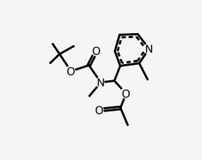 CC(=O)OC(c1cccnc1C)N(C)C(=O)OC(C)(C)C